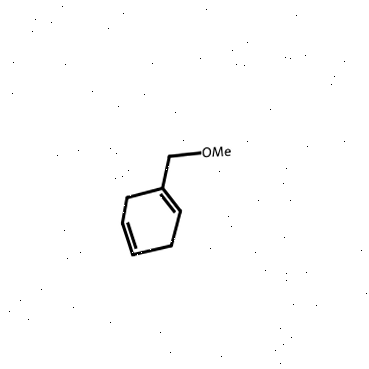 COCC1=CCC=CC1